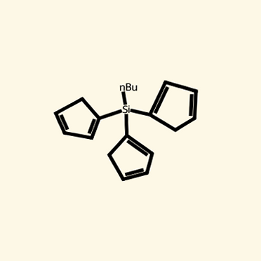 CCCC[Si](C1=CC=CC1)(C1=CC=CC1)C1=CC=CC1